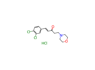 Cl.O=C(/C=C/c1ccc(Cl)c(Cl)c1)CCN1CCOCC1